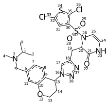 CC(C)N(C)Cc1ccc2c(c1)OCCC2n1cc(CC2C(=O)NC=CN2S(=O)(=O)c2cc(Cl)sc2Cl)nn1